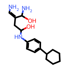 N/C=C(/CC(O)Nc1ccc(C2CCCCC2)cc1)C(N)O